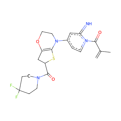 C=C(C)C(=O)n1ccc(N2CCOC3=C2SC(C(=O)N2CCC(F)(F)CC2)C3)cc1=N